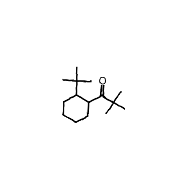 CC(C)(C)C(=O)C1CCCCC1C(C)(C)C